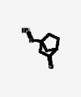 N=NC12CCC(C1)C(=O)C2